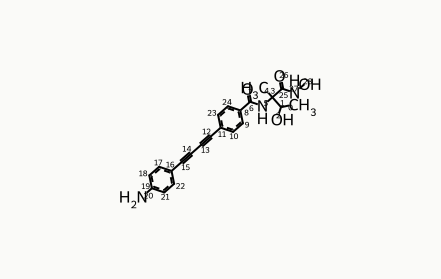 CC(O)C(C)(NC(=O)c1ccc(C#CC#Cc2ccc(N)cc2)cc1)C(=O)NO